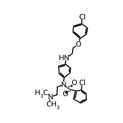 CN(C)CCN(c1ccc(NCCOc2ccc(Cl)cc2)cc1)S(=O)(=O)c1ccccc1Cl